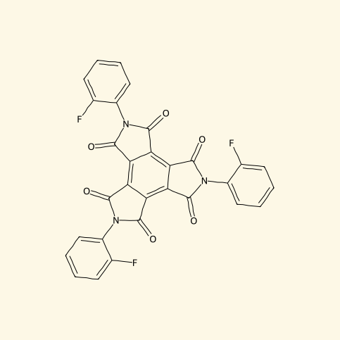 O=c1c2c3c(=O)n(-c4ccccc4F)c(=O)c3c3c(=O)n(-c4ccccc4F)c(=O)c3c2c(=O)n1-c1ccccc1F